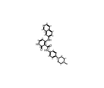 CN1CCN(c2ccc(NC(=O)c3c(Nc4ccc5ccncc5c4)cc[nH]c3=O)cc2)CC1